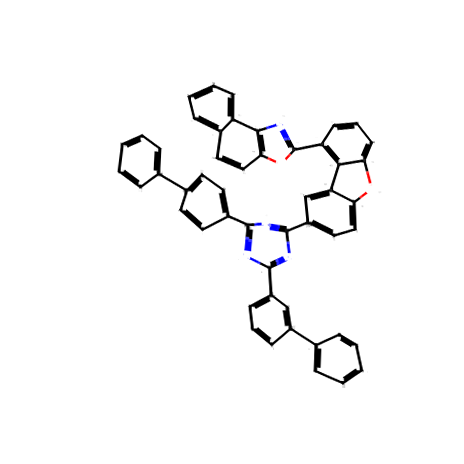 c1ccc(-c2ccc(-c3nc(-c4cccc(-c5ccccc5)c4)nc(-c4ccc5oc6cccc(-c7nc8c(ccc9ccccc98)o7)c6c5c4)n3)cc2)cc1